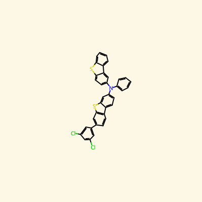 Clc1cc(Cl)cc(-c2ccc3c(c2)sc2cc(N(c4ccccc4)c4ccc5sc6ccccc6c5c4)ccc23)c1